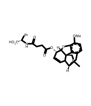 COc1ccc2c3c1O[C@H]1[C@@H](OC(=O)CCC(=O)N[C@H](C(=O)O)C(C)C)C=CC4[C@@H](C2)N(C)CC[C@@]341